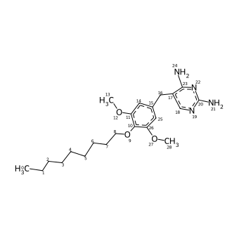 CCCCCCCCCOc1c(OC)cc(Cc2cnc(N)nc2N)cc1OC